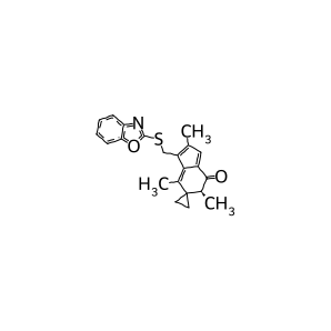 CC1=C(CSc2nc3ccccc3o2)C2=C(C)C3(CC3)[C@H](C)C(=O)C2=C1